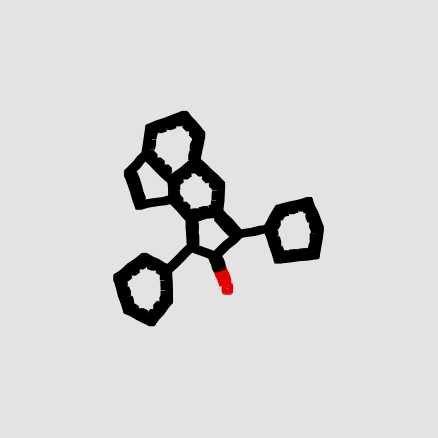 O=C1C(c2ccccc2)=c2cc3cccc4c3c(c2=C1c1ccccc1)C=C4